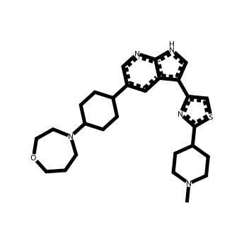 CN1CCC(c2nc(-c3c[nH]c4ncc(C5CCC(N6CCCOCC6)CC5)cc34)cs2)CC1